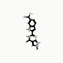 CC(NC(=O)c1cc2ccc(C(F)F)cc2[nH]1)c1cnn(C)c1